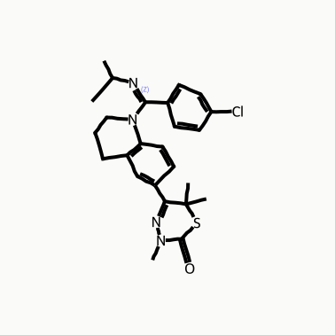 CC(C)/N=C(/c1ccc(Cl)cc1)N1CCCc2cc(C3=NN(C)C(=O)SC3(C)C)ccc21